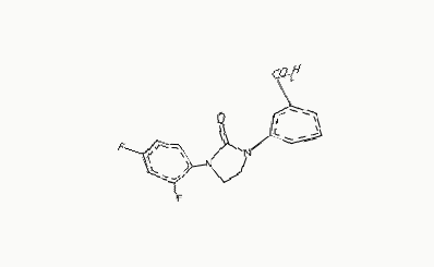 O=C(O)c1cccc(N2CCN(c3ccc(F)cc3F)C2=O)c1